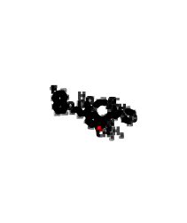 CCc1c2c(nn1C)C(CCN1CCOCC1)N(C)[S+]([O-])CCCn1c(C(=O)O)c(CCCOc3cccc4cc(F)ccc34)c3ccc(Cl)c-2c31